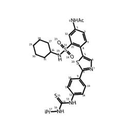 CC(=O)Nc1ccc(-c2cnc(-c3ccc(NC(=S)NC(C)C)cc3)s2)c(S(=O)(=O)NC2CCCCC2)c1